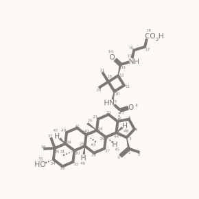 C=C(C)[C@@H]1CC[C@]2(C(=O)N[C@@H]3C[C@H](C(=O)NCCC(=O)O)C3(C)C)CC[C@]3(C)[C@H](CC[C@@H]4[C@@]5(C)CC[C@H](O)C(C)(C)[C@@H]5CC[C@]43C)[C@@H]12